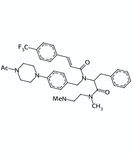 CNCCN(C)C(=O)C(Cc1ccccc1)N(Cc1ccc(N2CCN(C(C)=O)CC2)cc1)C(=O)C=Cc1ccc(C(F)(F)F)cc1